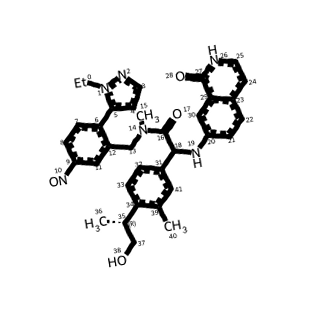 CCn1nccc1-c1ccc(N=O)cc1CN(C)C(=O)C(Nc1ccc2cc[nH]c(=O)c2c1)c1ccc([C@@H](C)CO)c(C)c1